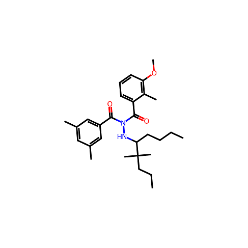 CCCCC(NN(C(=O)c1cc(C)cc(C)c1)C(=O)c1cccc(OC)c1C)C(C)(C)CCC